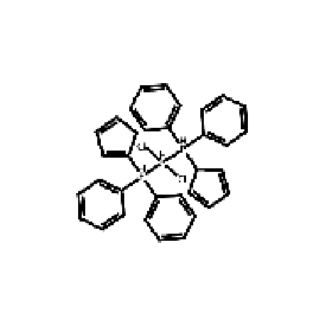 Cl[PH](Cl)([PH](C1=CC=CC1)(c1ccccc1)c1ccccc1)[PH](c1ccccc1)(c1ccccc1)C1C=CC=C1